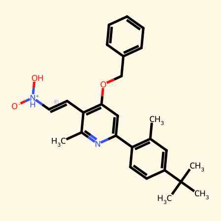 Cc1cc(C(C)(C)C)ccc1-c1cc(OCc2ccccc2)c(/C=C/[NH+]([O-])O)c(C)n1